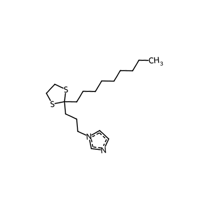 CCCCCCCCCC1(CCCn2ccnc2)SCCS1